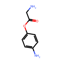 NCC(=O)Oc1ccc(N)cc1